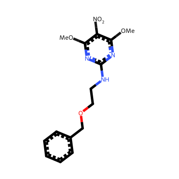 COc1nc(NCCOCc2ccccc2)nc(OC)c1[N+](=O)[O-]